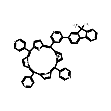 CC1(C)c2ccccc2-c2ccc(-c3cncc(-c4c5nc(c(-c6ccncc6)c6ccc([nH]6)c(-c6ccncc6)c6nc(c(-c7ccncc7)c7ccc4[nH]7)C=C6)C=C5)c3)cc21